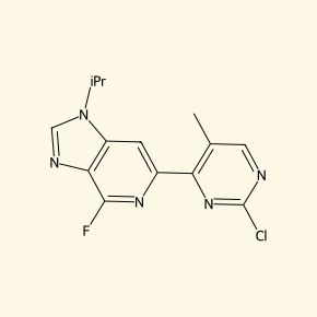 Cc1cnc(Cl)nc1-c1cc2c(ncn2C(C)C)c(F)n1